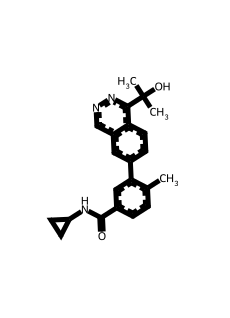 Cc1ccc(C(=O)NC2CC2)cc1-c1ccc2c(C(C)(C)O)nncc2c1